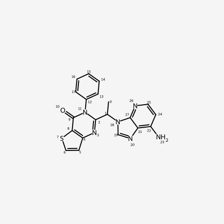 CC(c1nc2ccsc2c(=O)n1-c1ccccc1)n1cnc2c(N)ccnc21